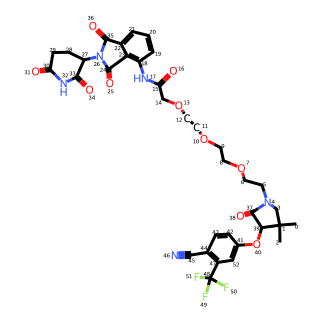 CC1(C)CN(CCOCCOCCOCC(=O)Nc2cccc3c2C(=O)N(C2CCC(=O)NC2=O)C3=O)C(=O)C1Oc1ccc(C#N)c(C(F)(F)F)c1